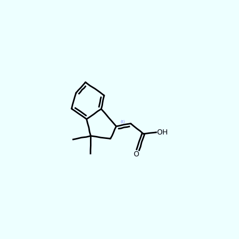 CC1(C)C/C(=C\C(=O)O)c2ccccc21